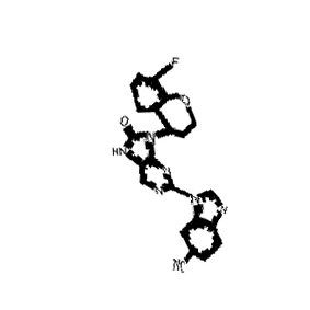 N#Cc1ccc2ncn(-c3ncc4[nH]c(=O)n(C5CCOc6c(F)cccc65)c4n3)c2c1